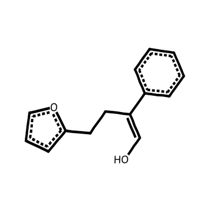 OC=C(CCc1ccco1)c1ccccc1